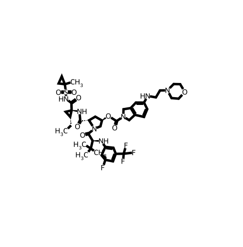 CC[C@@H]1C[C@]1(NC(=O)[C@@H]1C[C@@H](OC(=O)N2Cc3ccc(NCCN4CCOCC4)cc3C2)CN1C(=O)[C@@H](Nc1cc(F)cc(C(F)(F)F)c1)C(C)(C)C)C(=O)NS(=O)(=O)C1(C)CC1